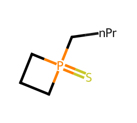 CCCCP1(=S)CCC1